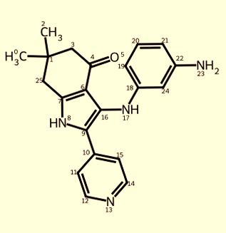 CC1(C)CC(=O)c2c([nH]c(-c3ccncc3)c2Nc2cccc(N)c2)C1